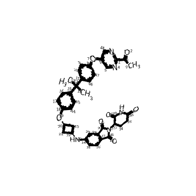 CC(=O)c1ncc(Oc2ccc(C(C)(C)c3ccc(O[C@H]4C[C@@H](Nc5ccc6c(c5)C(=O)N(C5CCC(=O)NC5=O)C6=O)C4)cc3)cc2)cn1